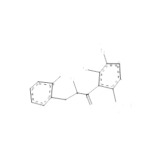 CCCC(Cc1ccccc1Cl)C(=O)c1c(C(=O)O)ccc(N)c1[N+](=O)[O-]